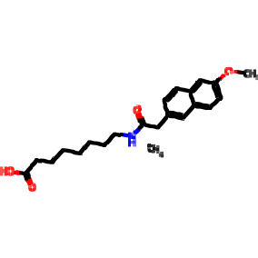 C.COc1ccc2cc(CC(=O)NCCCCCCCC(=O)O)ccc2c1